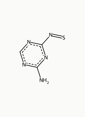 Nc1ncnc(N=S)n1